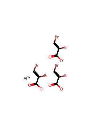 O=C([O-])C(Br)=CBr.O=C([O-])C(Br)=CBr.O=C([O-])C(Br)=CBr.[Al+3]